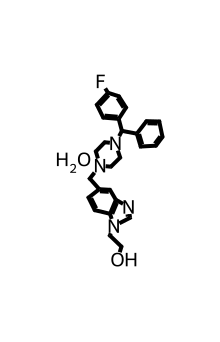 O.OCCn1cnc2cc(CN3CCN(C(c4ccccc4)c4ccc(F)cc4)CC3)ccc21